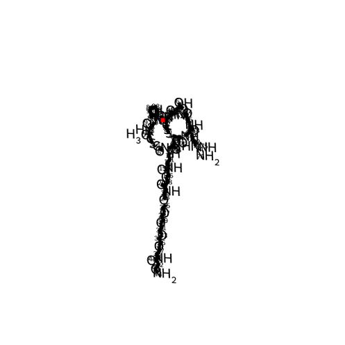 C[C@@H]1CSCC(=O)N[C@@H](CCCCNC(=O)COCC(=O)NCCOCCOCCOCCOCCOCCNC(=O)CON)C(=O)N[C@H]2CSSC[C@H](NC(=O)[C@H](CC(=O)O)NC(=O)CNC(=O)[C@H](CCCNC(=N)N)NC2=O)C(=O)N[C@@H](Cc2ccccc2)C(=O)N1